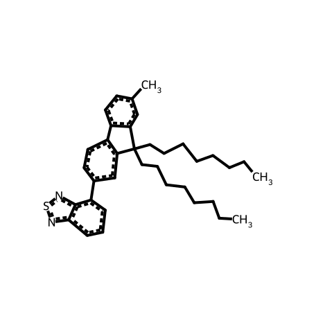 CCCCCCCCC1(CCCCCCCC)c2cc(C)ccc2-c2ccc(-c3cccc4nsnc34)cc21